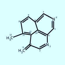 C=c1cnc2cncc3ccc(C)c1c32